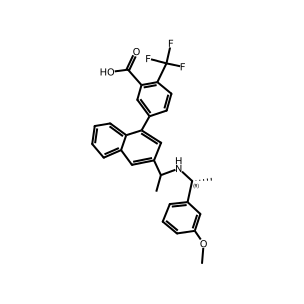 COc1cccc([C@@H](C)NC(C)c2cc(-c3ccc(C(F)(F)F)c(C(=O)O)c3)c3ccccc3c2)c1